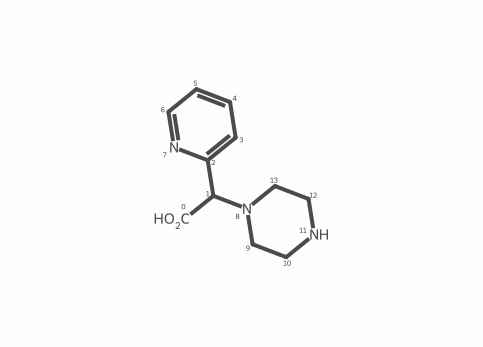 O=C(O)C(c1ccccn1)N1CCNCC1